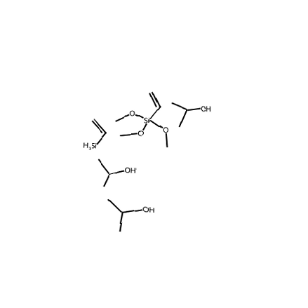 C=C[SiH3].C=C[Si](OC)(OC)OC.CC(C)O.CC(C)O.CC(C)O